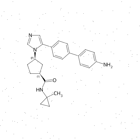 CC1(NC(=O)[C@H]2CC[C@@H](n3cncc3-c3ccc(-c4ccc(N)cc4)cc3)C2)CC1